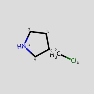 C1CCNC1.CCl